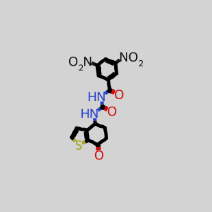 O=C(NC(=O)c1cc([N+](=O)[O-])cc([N+](=O)[O-])c1)NC1CCC(=O)c2sccc21